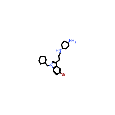 N[C@H]1CC[C@H](NCCCc2cn(CC3CCCCC3)c3ccc(Br)cc23)CC1